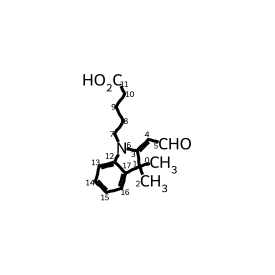 CC1(C)/C(=C\C=O)N(CCCCC(=O)O)c2ccccc21